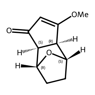 COC1=CC(=O)[C@H]2[C@@H]1[C@@H]1CC[C@H]2O1